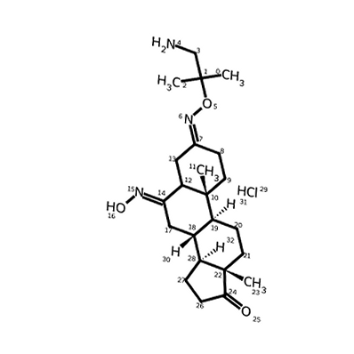 CC(C)(CN)ON=C1CC[C@@]2(C)C(C1)C(=NO)C[C@@H]1[C@@H]2CC[C@]2(C)C(=O)CC[C@@H]12.Cl